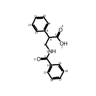 O=C(NCC(C(=O)O)c1ccccc1)c1ccccc1